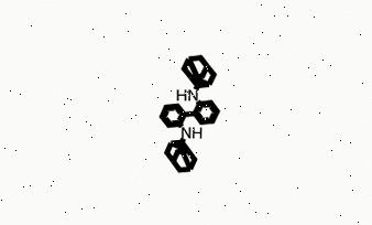 c1ccc(-c2ccccc2NC2C3CC4CC(C3)CC2C4)c(NC2C3CC4CC(C3)CC2C4)c1